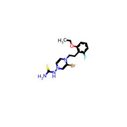 CCOc1cccc(F)c1CCN1C=CN(NC(N)=S)C=C1Br